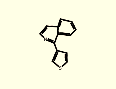 c1ccc2c(-c3ccsc3)nccc2c1